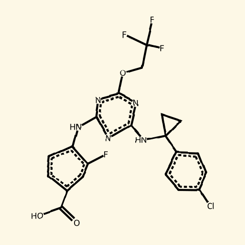 O=C(O)c1ccc(Nc2nc(NC3(c4ccc(Cl)cc4)CC3)nc(OCC(F)(F)F)n2)c(F)c1